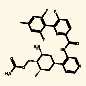 Cc1cc(F)c(-c2nc(C(=O)Nc3cnccc3[C@H]3C[C@@H](N)[C@@H](COC(N)=O)[C@@H](C)C3)ccc2F)c(F)c1